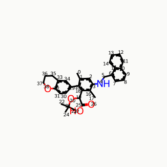 Cc1cc(NCc2cccc3ccccc23)c(C)c(C(OC(C)(C)C)C(=O)O)c1-c1ccc2c(c1)CCCO2